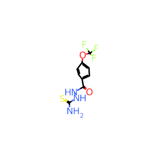 NC(=S)NNC(=O)c1ccc(OC(F)(F)F)cc1